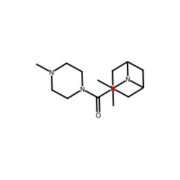 CC(C)N1C2CC1CN(C(=O)N1CCN(C)CC1)C2